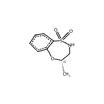 C[C@H]1CNS(=O)(=O)c2ccccc2O1